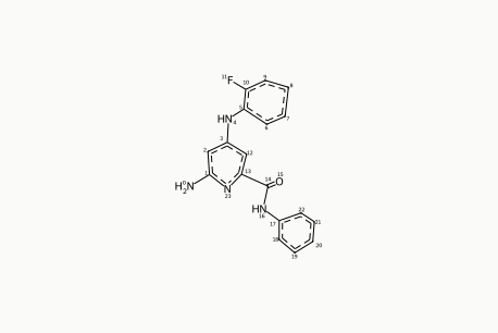 Nc1cc(Nc2ccccc2F)cc(C(=O)Nc2ccccc2)n1